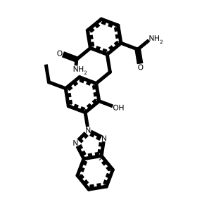 CCc1cc(Cc2c(C(N)=O)cccc2C(N)=O)c(O)c(-n2nc3ccccc3n2)c1